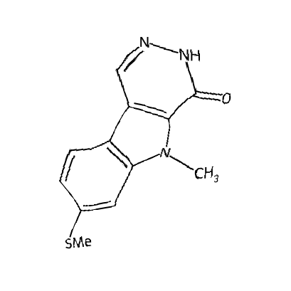 CSc1ccc2c3cn[nH]c(=O)c3n(C)c2c1